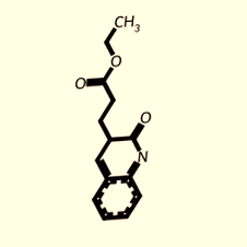 CCOC(=O)CCC1C=c2ccccc2=NC1=O